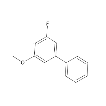 COc1[c]c(F)cc(-c2ccccc2)c1